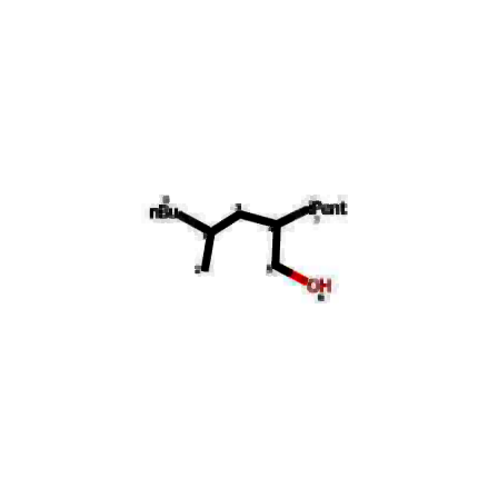 CCCCC(C)CC(CO)C(C)CCC